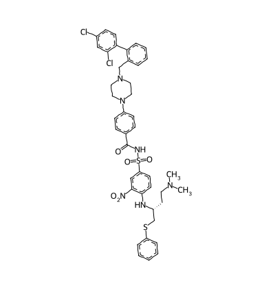 CN(C)CC[C@H](CSc1ccccc1)Nc1ccc(S(=O)(=O)NC(=O)c2ccc(N3CCN(Cc4ccccc4-c4ccc(Cl)cc4Cl)CC3)cc2)cc1[N+](=O)[O-]